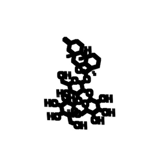 C=C1CC[C@@H]2[C@](C)(CCC3[C@](C)(C(=O)OC4OC(CO)C(O)C(OC5OC(CO)C(O)C(O)C5O)C4OC4OC(CO)C(O)C(O)C4O)CCC[C@]32C)C1